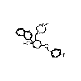 CN1CCN(CC2CC(OCc3ccc(F)cc3)CCC2(O)c2ccc3ccccc3c2)CC1